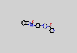 O=C(Nc1ccc(N2CCN(C(=O)c3cccnc3)CC2)cc1)N1Cc2ccccc2C1